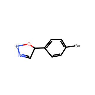 CC(C)(C)c1ccc(C2C=N[N]O2)cc1